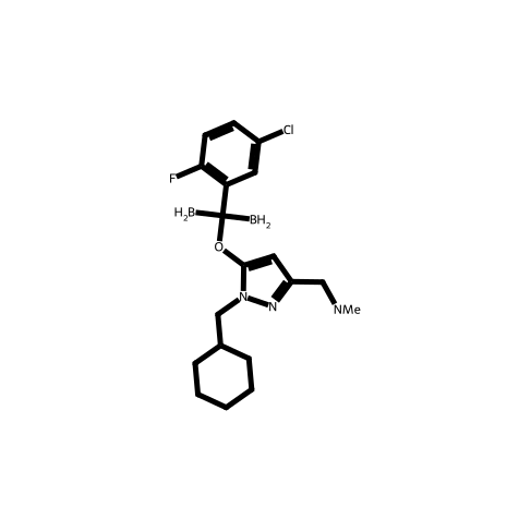 BC(B)(Oc1cc(CNC)nn1CC1CCCCC1)c1cc(Cl)ccc1F